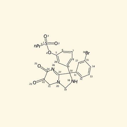 CCCS(=O)(=O)Oc1cccc(C2(c3cccc(Br)c3)NCN3CC(=O)C(=O)N=C32)c1